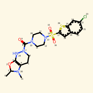 CC1OC2=C(CCN(C(=O)N3CCN(S(=O)(=O)c4cc5ccc(Cl)cc5s4)CC3)N2)N1C